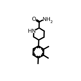 Cc1ccc(C2CCC(C(N)=O)NC2)c(C)c1C